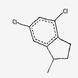 CC1CCc2c(Cl)cc(Cl)cc21